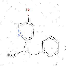 O=C(O)C(Cc1ccccc1)c1ccc(Br)cn1